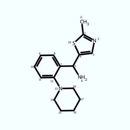 Cc1ncc(C(N)c2ccccc2N2CCCCC2)s1